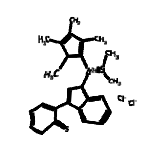 CC1=C(C)C(C)[C]([Zr+2]([CH]2C=C(C3=CC=CCC3=S)c3ccccc32)=[Si](C)C)=C1C.[Cl-].[Cl-]